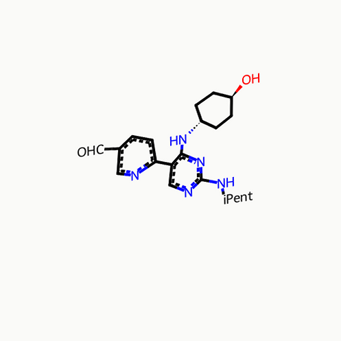 CCCC(C)Nc1ncc(-c2ccc(C=O)cn2)c(N[C@H]2CC[C@H](O)CC2)n1